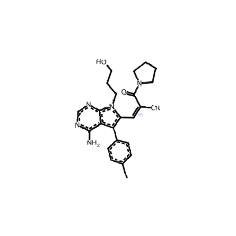 Cc1ccc(-c2c(/C=C(/C#N)C(=O)N3CCCC3)n(CCCO)c3ncnc(N)c23)cc1